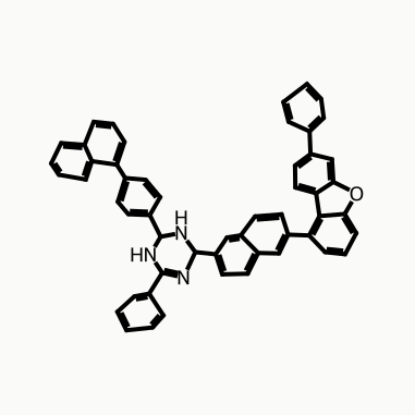 c1ccc(C2=NC(c3ccc4cc(-c5cccc6oc7cc(-c8ccccc8)ccc7c56)ccc4c3)NC(c3ccc(-c4cccc5ccccc45)cc3)N2)cc1